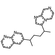 CC(CCC(C)c1cnc2cnccn12)c1cnc2ncccc2c1